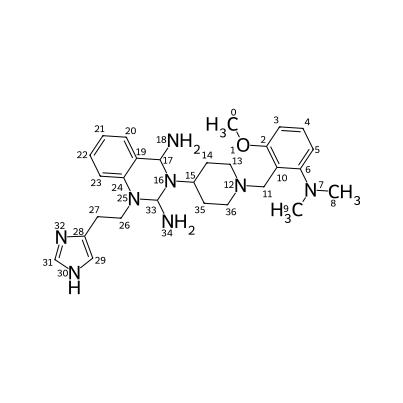 COc1cccc(N(C)C)c1CN1CCC(N2C(N)c3ccccc3N(CCc3c[nH]cn3)C2N)CC1